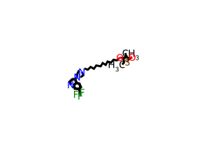 CC1=C(OCCCCCCCCCCCCN2CCN(c3ccnc4cc(C(F)(F)F)ccc34)CC2)C(C)SC1=O